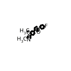 COc1cc(N2CCN(c3ccc(F)cc3)C2=O)ccc1-n1cnc(C)c1